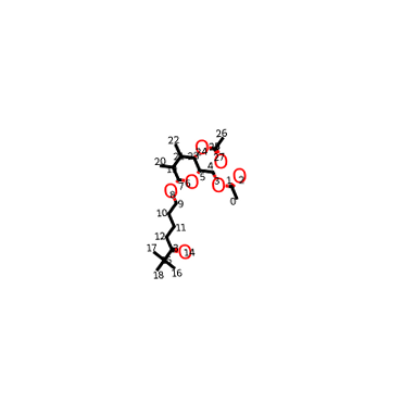 CC(=O)OCC1OC(OCCCCC(=O)C(C)(C)C)C(C)C(C)C1OC(C)=O